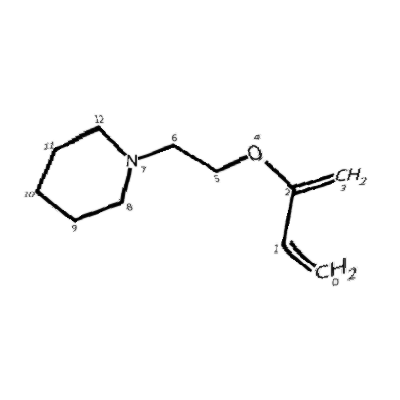 C=CC(=C)OCCN1CCCCC1